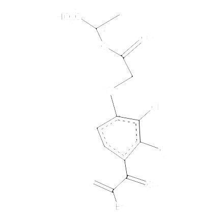 C=C(CC)C(=O)c1ccc(OCC(=O)OC(C)C(=O)O)c(Cl)c1Cl